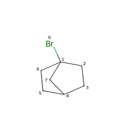 BrC12CCC(CC1)C2